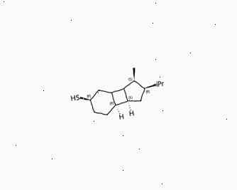 CC(C)[C@H]1C[C@@H]2C(C3C[C@H](S)CC[C@@H]32)[C@H]1C